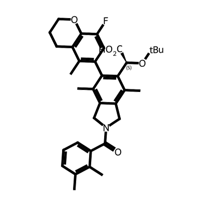 Cc1cccc(C(=O)N2Cc3c(C)c(-c4cc(F)c5c(c4C)CCCO5)c([C@H](OC(C)(C)C)C(=O)O)c(C)c3C2)c1C